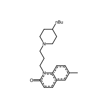 CCCCC1CCN(CCCn2c(=O)ccc3cc(C)ccc32)CC1